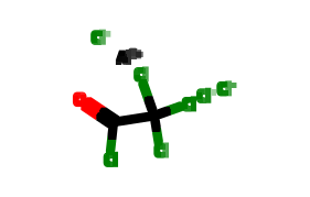 O=C(Cl)C(Cl)(Cl)Cl.[Al+3].[Cl-].[Cl-].[Cl-]